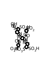 O=C(Oc1ccc([N+](=O)[O-])cc1)Oc1cc(-n2nc3ccc4c(S(=O)(=O)O)cc(S(=O)(=O)O)cc4c3n2)c(OC(=O)Oc2ccc([N+](=O)[O-])cc2)cc1-n1nc2ccc3c(SOOO)cc(S(=O)(=O)O)cc3c2n1